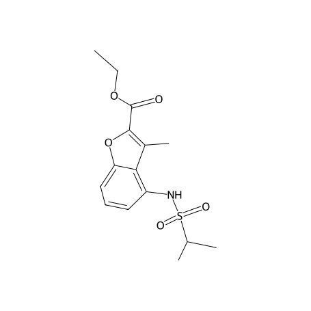 CCOC(=O)c1oc2cccc(NS(=O)(=O)C(C)C)c2c1C